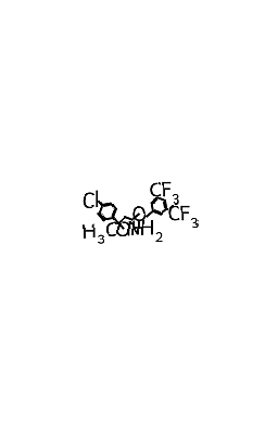 CC(O)(CC(N)OCc1cc(C(F)(F)F)cc(C(F)(F)F)c1)c1ccc(Cl)cc1